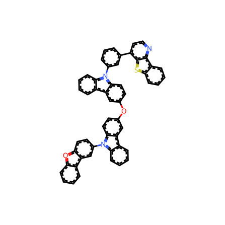 c1cc(-c2ccnc3c2sc2ccccc23)cc(-n2c3ccccc3c3cc(Oc4ccc5c(c4)c4ccccc4n5-c4ccc5oc6ccccc6c5c4)ccc32)c1